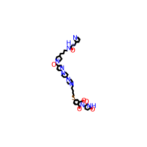 O=C(/C=C/c1cccnc1)NCCCCC1CCN(C(=O)c2ccc(N3CCC(N4CCN(CCCCCSc5ccc6c(c5)C(=O)N(C5CCC(=O)NC5=O)C6=O)CC4)CC3)nc2)CC1